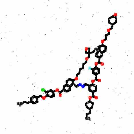 CCCc1ccc(COc2ccc(OC(=O)c3ccc4c(/C=N/N=C/c5cc(C(=O)OC6CCC(CCC)CC6)ccc5OC(=O)c5ccc(OC(=O)c6ccc7cc(OCCCOCC8CCC9OC9C8)ccc7c6)c(F)c5)c(OCCCCCCOCC5(CC)COC5)ccc4c3)cc2Cl)cc1